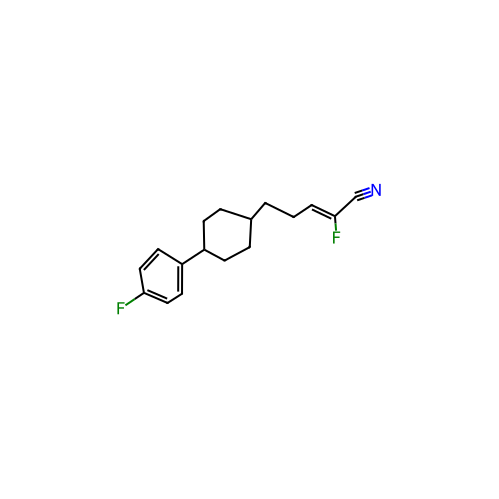 N#CC(F)=CCCC1CCC(c2ccc(F)cc2)CC1